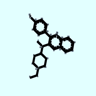 CCN1CCC(N(C)c2cc3ccccc3nc2-c2ccc(F)cc2)CC1